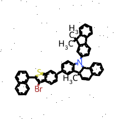 CC1(C)c2ccccc2-c2ccc(N3c4ccc(-c5ccc6c(Br)c(-c7cccc8ccccc78)sc6c5)cc4C4(C)C=Cc5ccccc5C34)cc21